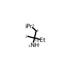 CCC(C)([NH])CC(C)C